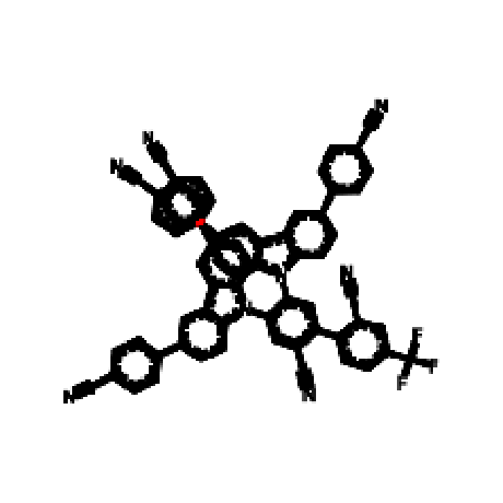 N#Cc1ccc(-c2ccc3c(c2)c2cc(-c4ccc(C#N)cc4)ccc2n3-c2cc(C#N)c(-c3ccc(C(F)(F)F)cc3C#N)cc2-n2c3ccc(-c4ccc(C#N)cc4)cc3c3cc(-c4ccc(C#N)cc4)ccc32)cc1